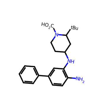 CC(C)(C)C1CC(Nc2cc(-c3ccccc3)ccc2N)CCN1C(=O)O